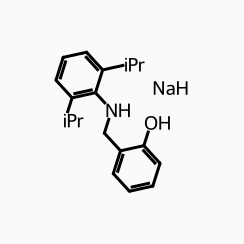 CC(C)c1cccc(C(C)C)c1NCc1ccccc1O.[NaH]